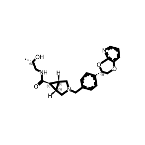 C[C@H](O)CNC(=O)[C@H]1[C@@H]2CN(Cc3ccc([C@H]4COc5cccnc5O4)cc3)C[C@@H]21